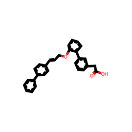 O=C(O)Cc1cccc(-c2ccccc2OCC=Cc2ccc(-c3ccccc3)cc2)c1